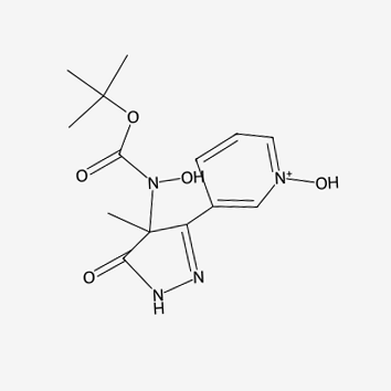 CC(C)(C)OC(=O)N(O)C1(C)C(=O)NN=C1c1ccc[n+](O)c1